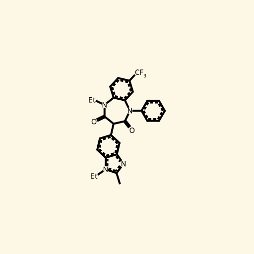 CCN1C(=O)C(c2ccc3c(c2)nc(C)n3CC)C(=O)N(c2ccccc2)c2cc(C(F)(F)F)ccc21